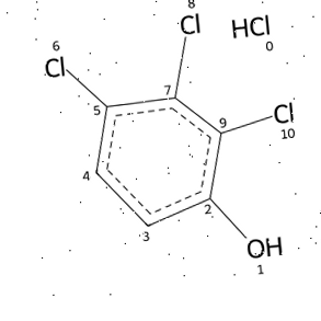 Cl.Oc1ccc(Cl)c(Cl)c1Cl